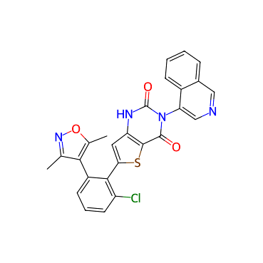 Cc1noc(C)c1-c1cccc(Cl)c1-c1cc2[nH]c(=O)n(-c3cncc4ccccc34)c(=O)c2s1